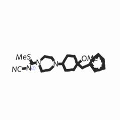 COC1(Cc2ccccc2)CCC(N2CCN(/C(=N/C#N)SC)CC2)CC1